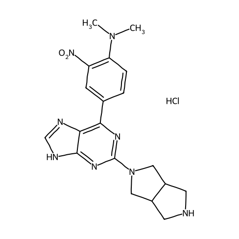 CN(C)c1ccc(-c2nc(N3CC4CNCC4C3)nc3[nH]cnc23)cc1[N+](=O)[O-].Cl